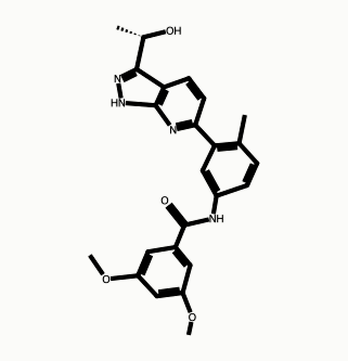 COc1cc(OC)cc(C(=O)Nc2ccc(C)c(-c3ccc4c([C@H](C)O)n[nH]c4n3)c2)c1